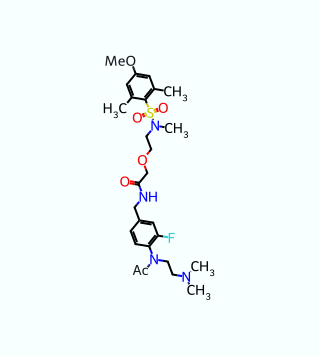 COc1cc(C)c(S(=O)(=O)N(C)CCOCC(=O)NCc2ccc(N(CCN(C)C)C(C)=O)c(F)c2)c(C)c1